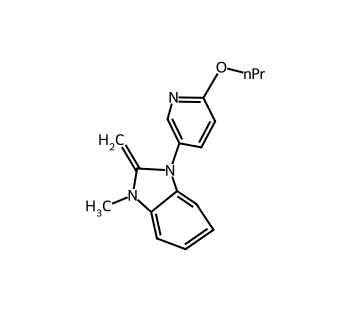 C=C1N(C)c2ccccc2N1c1ccc(OCCC)nc1